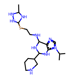 CC1NNC(SCCNC2NC(C3CCCNC3)Nc3c2ncn3C(C)C)N1